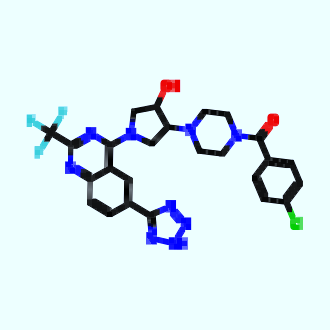 O=C(c1ccc(Cl)cc1)N1CCN(C2CN(c3nc(C(F)(F)F)nc4ccc(-c5nn[nH]n5)cc34)CC2O)CC1